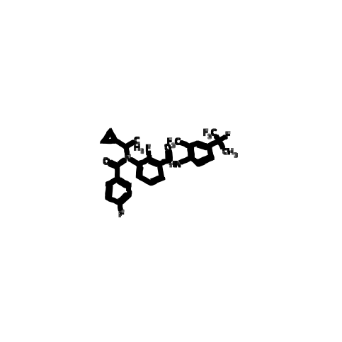 CC(C1CC1)N(C(=O)c1ccc(F)cc1)c1cccc(C(=O)Nc2ccc(C(C)(F)C(F)(F)F)cc2C(F)(F)F)c1F